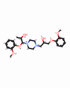 COc1ccccc1OCC(O)CN1CCN(C(Oc2ccccc2OC)C(C)O)CC1